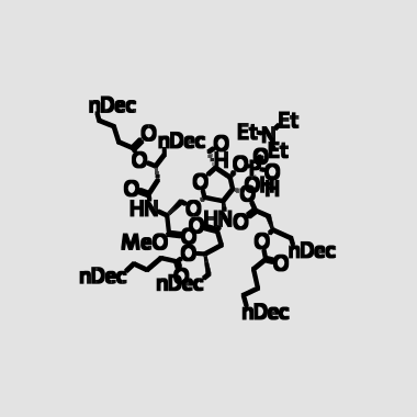 CCCCCCCCCCCCCC(=O)O[C@H](CCCCCCCCCCC)CC(=O)N[C@H]1[C@H](OC[C@H](NC(=O)C[C@@H](CCCCCCCCCCC)OC(=O)CCCCCCCCCCCCC)C(=O)OC)O[C@H](CO)[C@@H](OP(=O)(O)O)[C@@H]1OC(=O)C[C@@H](CCCCCCCCCCC)OC(=O)CCCCCCCCCCCCC.CCN(CC)CC